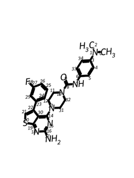 CN(C)c1ccc(NC(=O)N2CCN(c3nc(N)nc4scc(-c5cccc(F)c5)c34)CC2)cc1